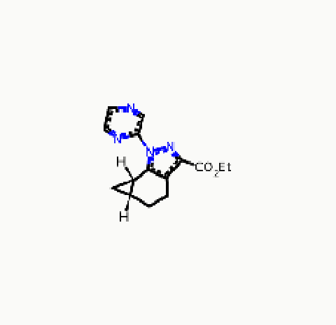 CCOC(=O)c1nn(-c2cnccn2)c2c1CC[C@@H]1C[C@H]21